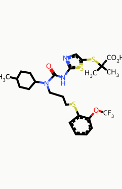 CC1CCC(N(CCCSc2ccccc2OC(F)(F)F)C(=O)Nc2ncc(SC(C)(C)C(=O)O)s2)CC1